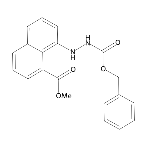 COC(=O)c1cccc2cccc(NNC(=O)OCc3ccccc3)c12